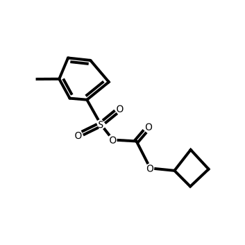 Cc1cccc(S(=O)(=O)OC(=O)OC2CCC2)c1